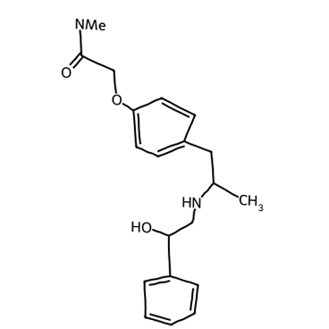 CNC(=O)COc1ccc(CC(C)NCC(O)c2ccccc2)cc1